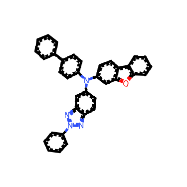 c1ccc(-c2ccc(N(c3ccc4nn(-c5ccccc5)nc4c3)c3ccc4c(c3)oc3ccccc34)cc2)cc1